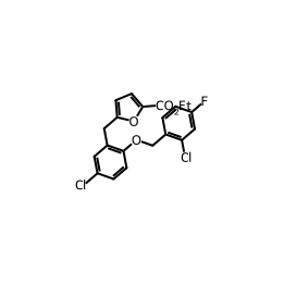 CCOC(=O)c1ccc(Cc2cc(Cl)ccc2OCc2ccc(F)cc2Cl)o1